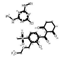 CCNc1nc(Cl)nc(NC(C)C)n1.CS(=O)(=O)c1ccc(C(=O)C2C(=O)CCCC2=O)c(Cl)c1COCC(F)(F)F